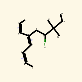 C\C=C/C=C(\C=C/C)CC(F)C(C)(C)CC